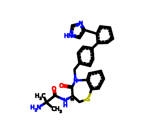 CC(C)(N)C(=O)N[C@@H]1CSc2ccccc2N(Cc2ccc(-c3ccccc3-c3c[nH]cn3)cc2)C1=O